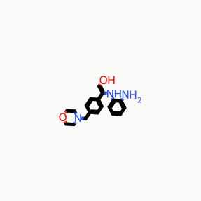 Nc1ccccc1N/C(=C\O)c1ccc(CN2CCOCC2)cc1